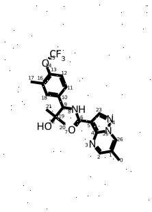 Cc1cnc2c(C(=O)NC(c3ccc(OC(F)(F)F)c(C)c3)C(C)(C)O)cnn2c1